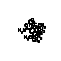 CC(C)(C)c1cc(C(N)=O)c(-c2ccon2)c(C(C)(C)C)c1O